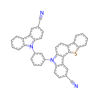 N#Cc1ccc2c(c1)c1ccccc1n2-c1cccc(-n2c3ccc(C#N)cc3c3c4sc5ccccc5c4ccc32)c1